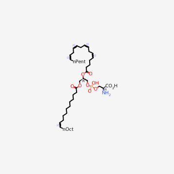 CCCCC/C=C\C/C=C\C/C=C\C/C=C\CCCC(=O)O[C@H](COC(=O)CCCCCCCCC/C=C\CCCCCCCC)COP(=O)(O)OC[C@H](N)C(=O)O